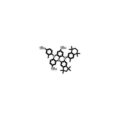 Cc1cc(C(C)(C)C)ccc1N1c2ccc(C(C)(C)C)cc2B2c3cc4c(cc3N(c3cc5c(cc3C)C(C)(C)CCC5(C)C)c3cc(C(C)(C)C)cc1c32)C(C)(C)CC4(C)C